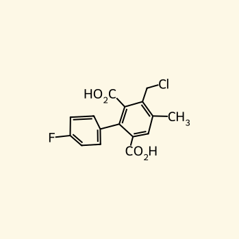 Cc1cc(C(=O)O)c(-c2ccc(F)cc2)c(C(=O)O)c1CCl